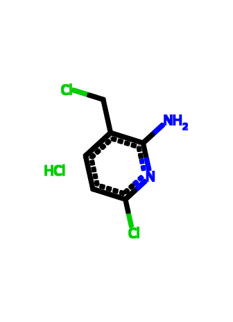 Cl.Nc1nc(Cl)ccc1CCl